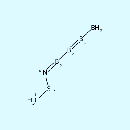 BB=BB=NSC